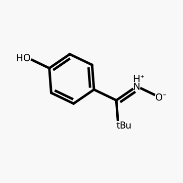 CC(C)(C)C(=[NH+][O-])c1ccc(O)cc1